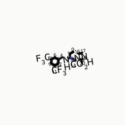 C=C/C(NCc1cc(C(F)(F)F)cc(C(F)(F)F)c1)=C(/C(=O)O)n1ccnc1C